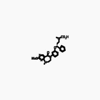 CSc1ncc2c(n1)N(C)CCN(c1cccc(O[C@H](CCN(C)C(=O)O)c3ccccc3)c1)C2=O